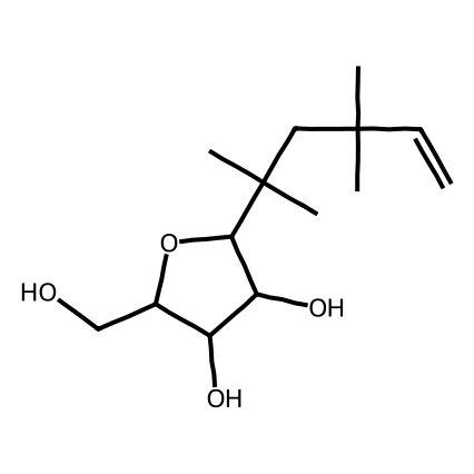 C=CC(C)(C)CC(C)(C)C1OC(CO)C(O)C1O